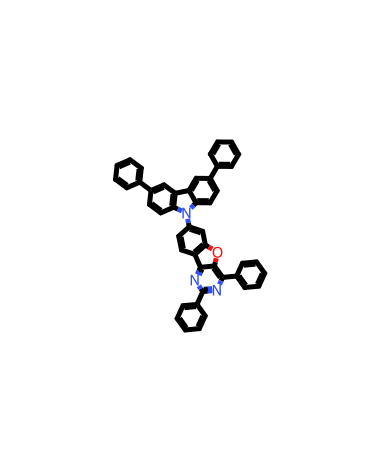 c1ccc(-c2ccc3c(c2)c2cc(-c4ccccc4)ccc2n3-c2ccc3c(c2)oc2c(-c4ccccc4)nc(-c4ccccc4)nc23)cc1